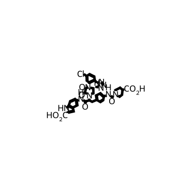 O=C(O)c1cc2cc(NC(=O)C(Cc3ccc(NC(=O)N4CCC(C(=O)O)CC4)cc3)N3CCN(c4cc(Cl)ccc4-n4cnnn4)C(=O)C3=O)ccc2[nH]1